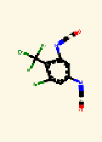 O=C=Nc1cc(Br)c(C(Br)(Br)Br)c(N=C=O)c1